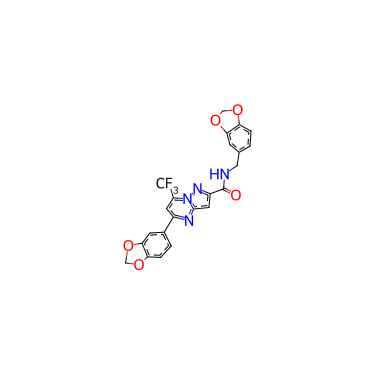 O=C(NCc1ccc2c(c1)OCO2)c1cc2nc(-c3ccc4c(c3)OCO4)cc(C(F)(F)F)n2n1